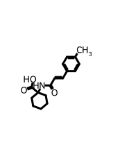 Cc1ccc(/C=C/C(=O)NC2(C(=O)O)CCCCC2)cc1